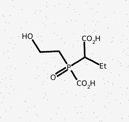 CCC(C(=O)O)P(=O)(CCO)C(=O)O